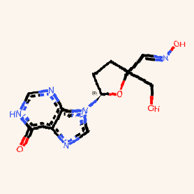 O=c1[nH]cnc2c1ncn2[C@H]1CCC(C=NO)(CO)O1